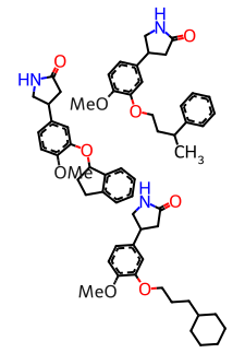 COc1ccc(C2CNC(=O)C2)cc1OC1CCc2ccccc21.COc1ccc(C2CNC(=O)C2)cc1OCCC(C)c1ccccc1.COc1ccc(C2CNC(=O)C2)cc1OCCCC1CCCCC1